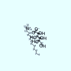 CCCCCCCCCCCC[N+](C)(C)C.O=C([O-])[C@H](O)[C@@H](O)[C@H](O)[C@H](O)CO